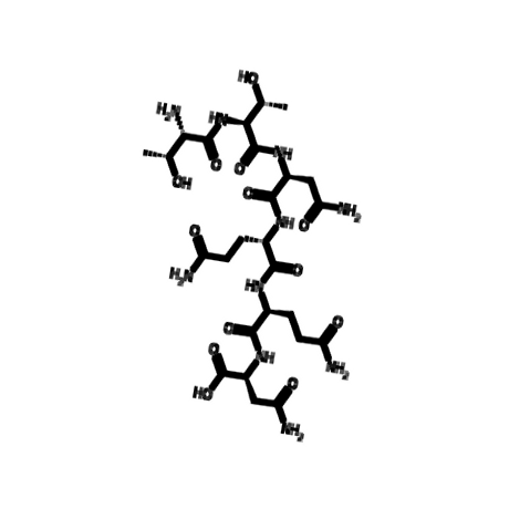 C[C@@H](O)[C@H](N)C(=O)N[C@H](C(=O)N[C@@H](CC(N)=O)C(=O)N[C@@H](CCC(N)=O)C(=O)N[C@@H](CCC(N)=O)C(=O)N[C@@H](CC(N)=O)C(=O)O)[C@@H](C)O